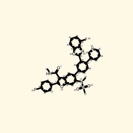 CNC(=O)c1c(-c2ccc(F)cc2)oc2cc(N(C)S(C)(=O)=O)c(-c3ccc(-c4cccnc4)c(-c4nc5c(F)cccc5o4)c3)cc12